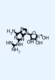 N=C(N)Nc1nc(N)c2ncn(C3O[C@H](CO)[C@@H](O)[C@H]3O)c2n1